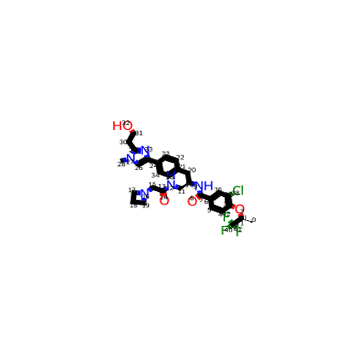 C[C@@H](Oc1ccc(C(=O)N[C@@H](CNC(=O)CN2CCC2)Cc2ccc(-c3cn(C)c(CCO)n3)cc2)cc1Cl)C(F)(F)F